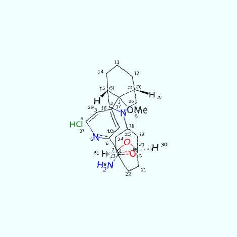 COC1(c2ccnc(C(N)=O)c2)[C@@H]2CCC[C@H]1CN(C1C[C@H]3CC[C@@H](C1)O3)C2.Cl